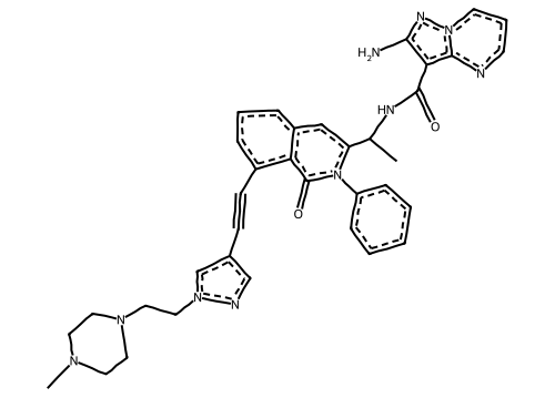 CC(NC(=O)c1c(N)nn2cccnc12)c1cc2cccc(C#Cc3cnn(CCN4CCN(C)CC4)c3)c2c(=O)n1-c1ccccc1